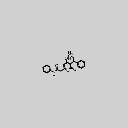 CCC(c1ccccc1)c1c(O)cc(CC(=O)Nc2ccccc2)oc1=O